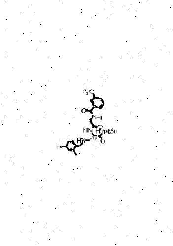 CCc1ccc(CNC[C@H](NC(=O)CNC(=O)c2cccc(C(F)(F)F)c2)C(=O)NC(C)(C)C)c(C)c1